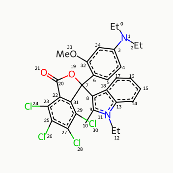 CCN(CC)c1ccc(C2(c3c(C)n(CC)c4ccccc34)OC(=O)c3c(Cl)c(Cl)c(Cl)c(Cl)c32)c(OC)c1